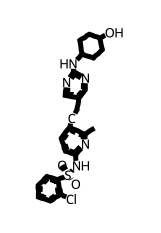 Cc1nc(NS(=O)(=O)c2ccccc2Cl)ccc1CCc1cnc(NC2CCC(O)CC2)nc1